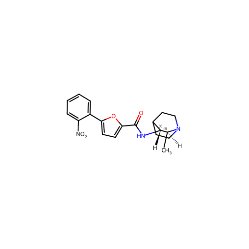 C[C@H]1[C@H](NC(=O)c2ccc(-c3ccccc3[N+](=O)[O-])o2)C2CCN1CC2